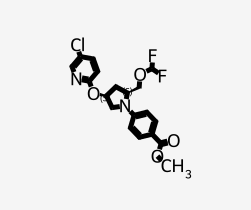 COC(=O)c1ccc(N2C[C@@H](Oc3ccc(Cl)cn3)C[C@H]2COC(F)F)cc1